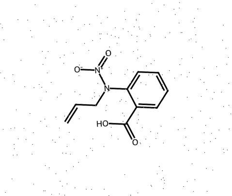 C=CCN(c1ccccc1C(=O)O)[N+](=O)[O-]